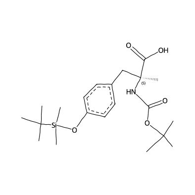 CC(C)(C)OC(=O)N[C@@](C)(Cc1ccc(O[Si](C)(C)C(C)(C)C)cc1)C(=O)O